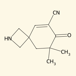 CC1(C)CC2(C=C(C#N)C1=O)CNC2